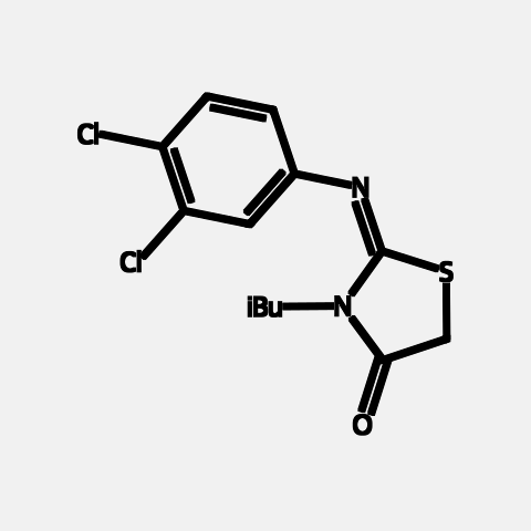 CCC(C)N1C(=O)CSC1=Nc1ccc(Cl)c(Cl)c1